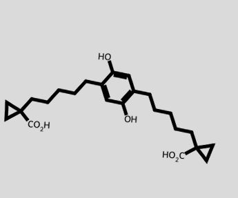 O=C(O)C1(CCCCCc2cc(O)c(CCCCCC3(C(=O)O)CC3)cc2O)CC1